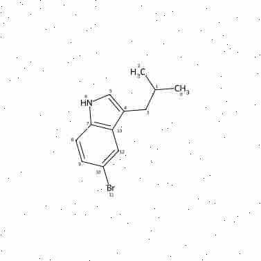 CC(C)Cc1c[nH]c2ccc(Br)cc12